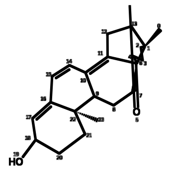 C[C@]12CCC(=O)[C@]13CCC1C(=C3CC2)C=CC2=CC(O)CC[C@@]21C